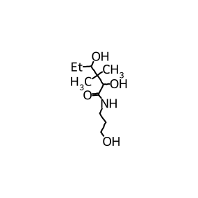 CCC(O)C(C)(C)C(O)C(=O)NCCCO